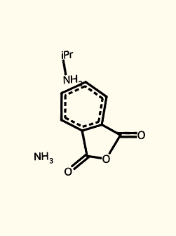 CC(C)N.N.O=C1OC(=O)c2ccccc21